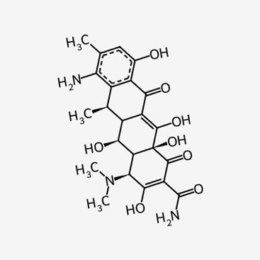 Cc1cc(O)c2c(c1N)[C@H](C)C1C(=C(O)[C@]3(O)C(=O)C(C(N)=O)=C(O)[C@@H](N(C)C)C3[C@H]1O)C2=O